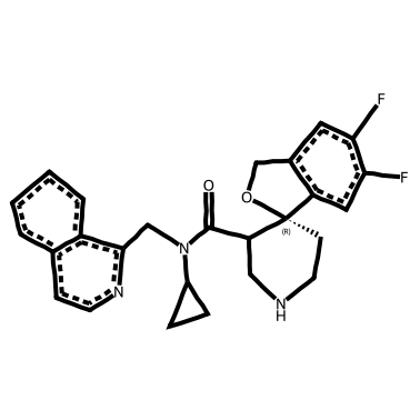 O=C(C1CNCC[C@@]12OCc1cc(F)c(F)cc12)N(Cc1nccc2ccccc12)C1CC1